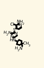 CC1(CN)CCC(Nc2cnc(Sc3ccnc(N)c3Cl)c(N)n2)CC1